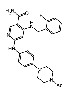 CC(=O)N1CCN(c2ccc(Nc3cc(NCc4ccccc4F)c(C(N)=O)cn3)cc2)CC1